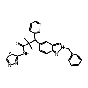 CC(C)(C(=O)Nc1nncs1)C(c1ccccc1)c1ccc2nn(Cc3ccccc3)cc2c1